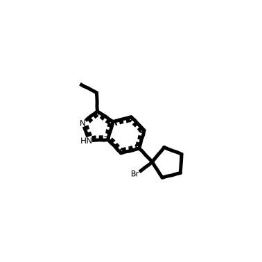 CCc1n[nH]c2cc(C3(Br)CCCC3)ccc12